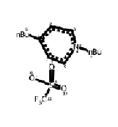 CCCCc1cc[n+](CCCC)cc1.O=S(=O)([O-])C(F)(F)F